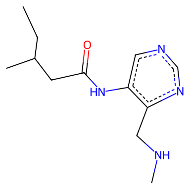 CCC(C)CC(=O)Nc1cncnc1CNC